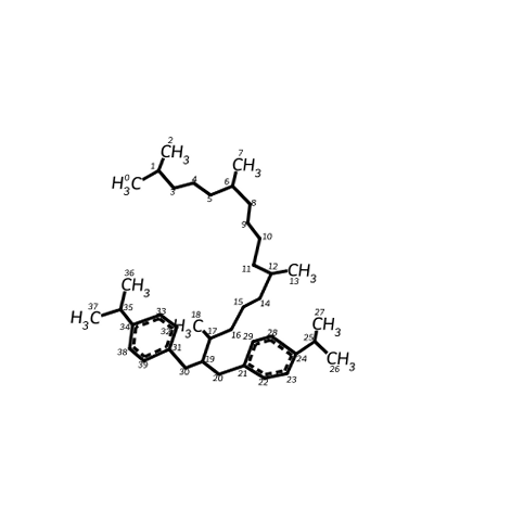 CC(C)CCCC(C)CCCCC(C)CCCC(C)C(Cc1ccc(C(C)C)cc1)Cc1ccc(C(C)C)cc1